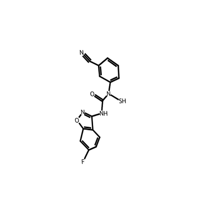 N#Cc1cccc(N(S)C(=O)Nc2noc3cc(F)ccc23)c1